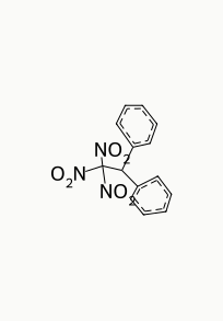 O=[N+]([O-])C(C(c1ccccc1)c1ccccc1)([N+](=O)[O-])[N+](=O)[O-]